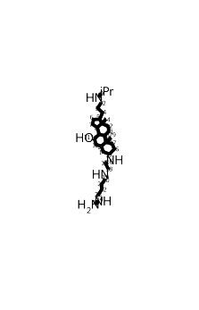 CC(C)NCCCC1CCC2C3C(O)CC4CC(NCCNCCCCNN)CCC4(C)C3CCC12C